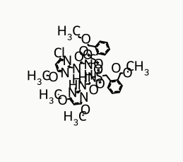 CCOC(=O)c1ccccc1S(=O)(=O)NC(=O)Nc1nc(Cl)cc(OC)n1.COC(=O)c1ccccc1CS(=O)(=O)NC(=O)Nc1nc(OC)cc(OC)n1